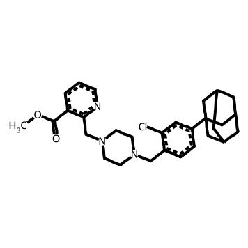 COC(=O)c1cccnc1CN1CCN(Cc2ccc(C34CC5CC(CC(C5)C3)C4)cc2Cl)CC1